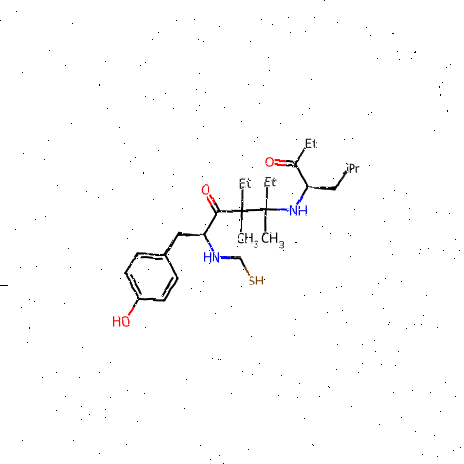 CCC(=O)[C@@H](CC(C)C)NC(C)(CC)C(C)(CC)C(=O)[C@H](Cc1ccc(O)cc1)NCS